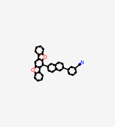 N#Cc1cccc(-c2ccc3cc(-c4c5oc6ccccc6c5cc5oc6ccccc6c45)ccc3c2)c1